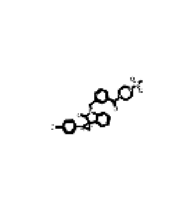 CS(=O)(=O)N1CCN(C(=O)c2cccc(CN3C(=O)[C@]4(C[C@@H]4c4ccc(Cl)cc4)c4ccccc43)c2)CC1